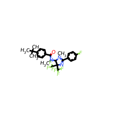 CN(C(=O)c1ccc(C(C)(C)C)cc1)C1N(C)C(c2ccc(F)cc2)=NC1(C(F)(F)F)C(F)(F)F